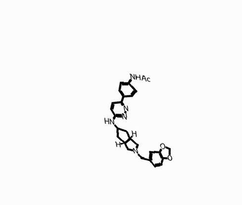 CC(=O)Nc1ccc(-c2ccc(NC3C[C@@H]4CN(Cc5ccc6c(c5)OCO6)C[C@@H]4C3)nn2)cc1